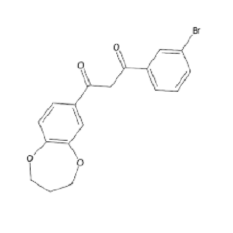 O=C(CC(=O)c1ccc2c(c1)OCCCO2)c1cccc(Br)c1